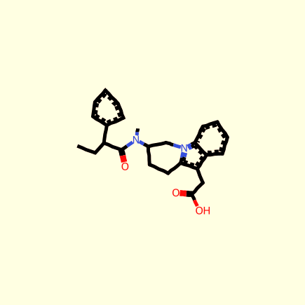 CCC(C(=O)N(C)C1CCc2c(CC(=O)O)c3ccccc3n2C1)c1ccccc1